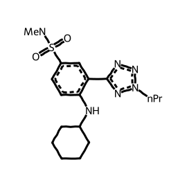 CCCn1nnc(-c2cc(S(=O)(=O)NC)ccc2NC2CCCCC2)n1